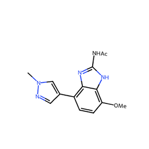 COc1ccc(-c2cnn(C)c2)c2nc(NC(C)=O)[nH]c12